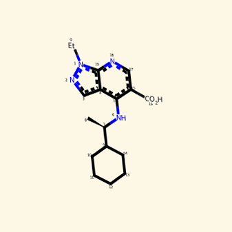 CCn1ncc2c(N[C@H](C)C3CCCCC3)c(C(=O)O)cnc21